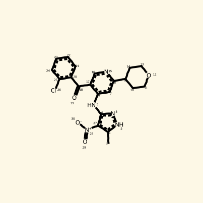 Cc1[nH]nc(Nc2cc(C3CCOCC3)ncc2C(=O)c2ccccc2Cl)c1[N+](=O)[O-]